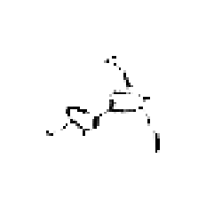 CNCc1cc(-c2ccc(OC)c(F)c2)nn(CC2CC2)c1=O